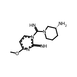 COc1ccn(C(=N)N2CCC[C@@H](N)C2)c(=N)n1